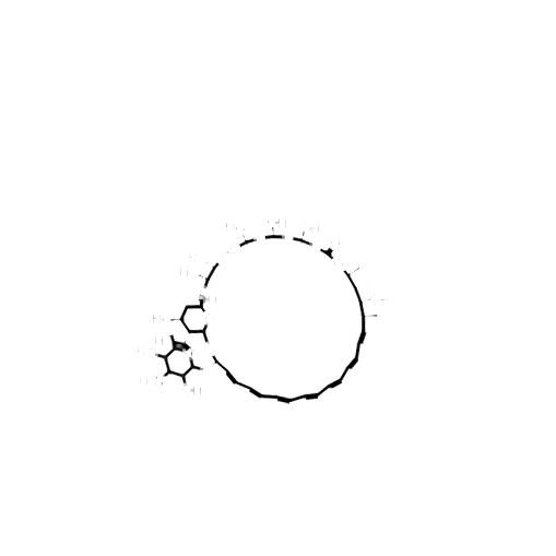 CC1OC(O[C@H]2/C=C/C=C/C=C/C=C/C=C/C=C/C=C/[C@H](C)[C@@H](O)[C@@H](C)[C@H](C)OC(=O)C[C@H](O)C[C@H](O)C[C@H](O)CC[C@@H](O)[C@H](O)C[C@]3(O)C[C@H](O)[C@@H](C(=O)O)C(C2)O3)C(O)C(N)C1O